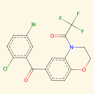 O=C(c1ccc2c(c1)N(C(=O)C(F)(F)F)CCO2)c1cc(Br)ccc1Cl